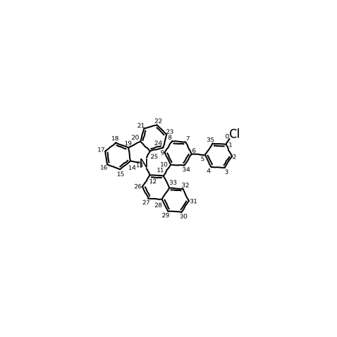 Clc1cccc(-c2cccc(-c3c(-n4c5ccccc5c5ccccc54)ccc4ccccc34)c2)c1